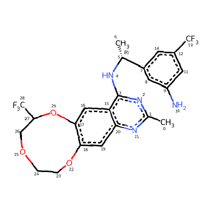 Cc1nc(N[C@H](C)c2cc(N)cc(C(F)(F)F)c2)c2cc3c(cc2n1)OCCOCC(C(F)(F)F)O3